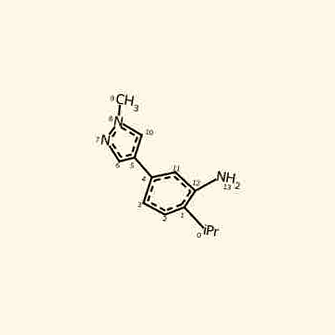 CC(C)c1ccc(-c2cnn(C)c2)cc1N